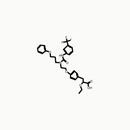 CCOC(Cc1ccc(OCCN(CCCOc2ccccc2)C(=O)Nc2cccc(C(F)(F)F)c2)cc1)C(=O)O